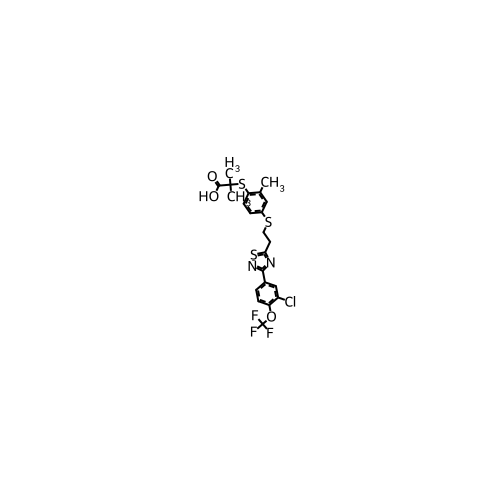 Cc1cc(SCCc2nc(-c3ccc(OC(F)(F)F)c(Cl)c3)ns2)ccc1SC(C)(C)C(=O)O